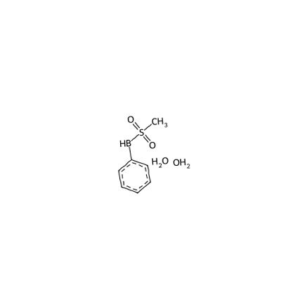 CS(=O)(=O)Bc1ccccc1.O.O